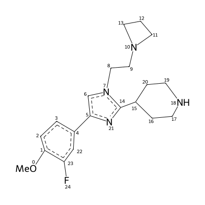 COc1ccc(-c2cn(CCN3CCC3)c(C3CCNCC3)n2)cc1F